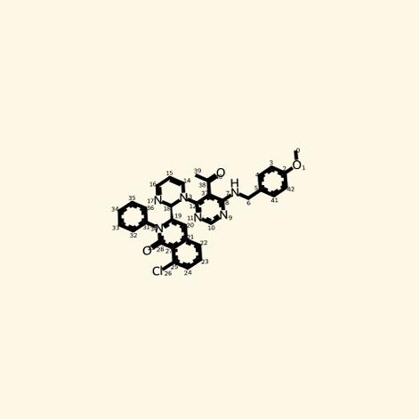 COc1ccc(CNc2ncnc(N3C=CC=N[C@@H]3c3cc4cccc(Cl)c4c(=O)n3-c3ccccc3)c2C(C)=O)cc1